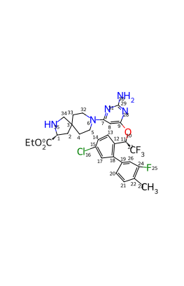 CCOC(=O)[C@@H]1CC2(CCN(c3cc(O[C@H](c4ccc(Cl)cc4-c4ccc(C)c(F)c4)C(F)(F)F)nc(N)n3)CC2)CN1